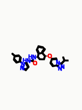 Cc1ccc(-n2nccc2NC(=O)N[C@H]2CC[C@@H](Oc3ccc4nnc(C(C)C)n4c3)c3ccccc32)cc1